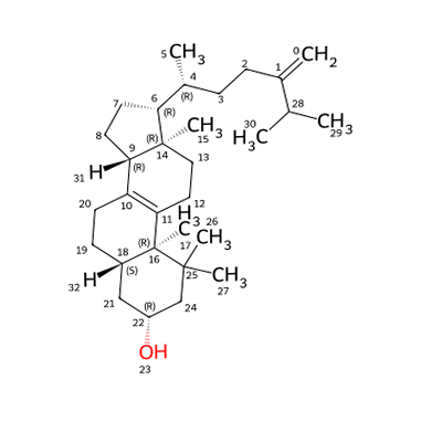 C=C(CC[C@@H](C)[C@H]1CC[C@H]2C3=C(CC[C@]12C)[C@]1(C)[C@@H](CC3)C[C@@H](O)CC1(C)C)C(C)C